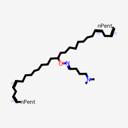 CCCCC/C=C\C/C=C\CCCCCCCCC(CCCCCCCC/C=C\C/C=C\CCCCC)ON=CCCCN(C)C